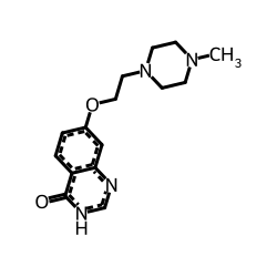 CN1CCN(CCOc2ccc3c(=O)[nH]cnc3c2)CC1